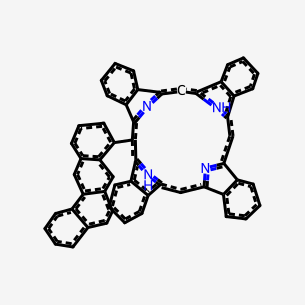 c1ccc2c(c1)-c1cc3[nH]c(cc4nc(c(-c5cccc6cc7c(ccc8ccccc87)cc56)c5[nH]c(cc-2n1)c1ccccc51)-c1ccccc1-4)c1ccccc31